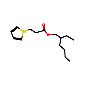 CCCCC(CC)COC(=O)CC[SH]1C=CC=C1